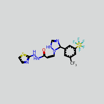 O=C(/C=C\N1NC=NC1c1cc(C(F)(F)F)cc(S(F)(F)(F)(F)F)c1)NNc1nccs1